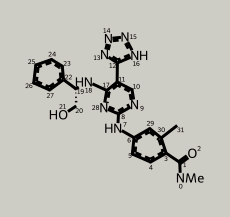 CNC(=O)c1ccc(Nc2ncc(-c3nnn[nH]3)c(N[C@H](CO)c3ccccc3)n2)cc1C